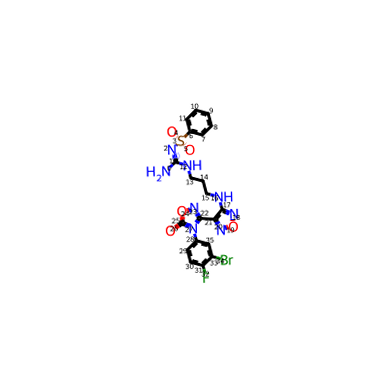 N/C(=N/S(=O)(=O)c1ccccc1)NCCCNc1nonc1-c1noc(=O)n1-c1ccc(F)c(Br)c1